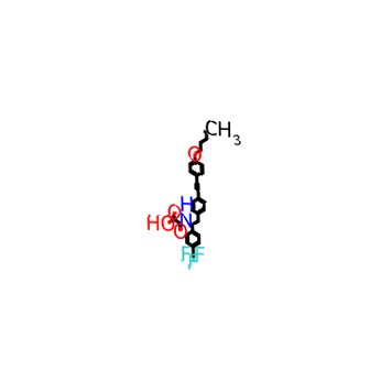 CCCCCOc1ccc(C#Cc2ccc(CC(NC(=O)C(=O)O)c3ccc(C(F)(F)F)cc3)cc2)cc1